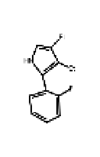 CCc1c[nH]c(-c2ccccc2F)c1CC